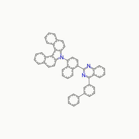 c1ccc(-c2cccc(-c3nc(-c4ccc(-n5c6ccc7ccccc7c6c6c7ccccc7ccc65)c5ccccc45)nc4ccccc34)c2)cc1